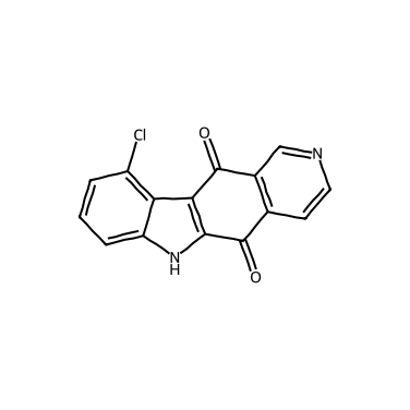 O=C1c2ccncc2C(=O)c2c1[nH]c1cccc(Cl)c21